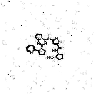 O=C(N[C@@H]1CCC[C@H]1O)c1cc(Nc2nc(N3CCCC3c3ccccn3)nc3cccn23)n[nH]1